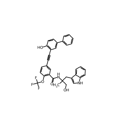 CC(CO)(Cc1c[nH]c2ccccc12)NC(=O)c1cc(C#Cc2cc(-c3ccccc3)ccc2O)ccc1OC(F)(F)F